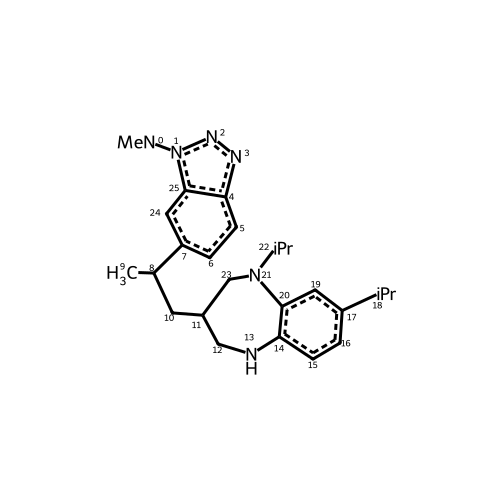 CNn1nnc2ccc(C(C)CC3CNc4ccc(C(C)C)cc4N(C(C)C)C3)cc21